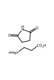 CCCCCCCCCC(=O)O.O=C1CCC(=O)N1